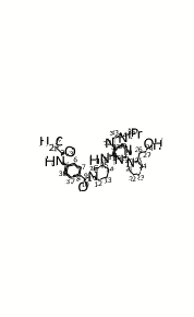 C=CC(=O)Nc1ccc(C(=O)N2CCCC(Nc3nc(N4CCCCC4CCO)nc4c3ncn4C(C)C)C2)cc1